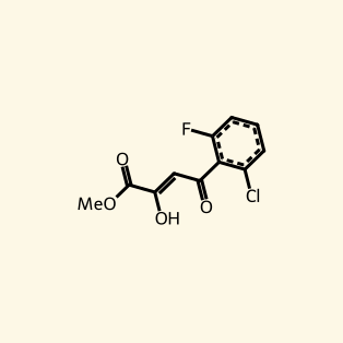 COC(=O)C(O)=CC(=O)c1c(F)cccc1Cl